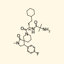 CN1CC(c2ccc(F)cc2)C2(CCCN(C(=O)[C@@H](CCC3CCCCC3)NC(=O)C(C)(C)N)C2)C1=O